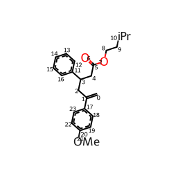 C=C(CC(CC(=O)OCCC(C)C)c1ccccc1)c1ccc(OC)cc1